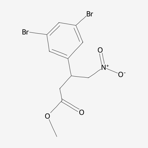 COC(=O)CC(C[N+](=O)[O-])c1cc(Br)cc(Br)c1